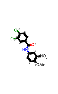 COc1ccc(NC(=O)c2ccc(Cl)c(Cl)c2)cc1[N+](=O)[O-]